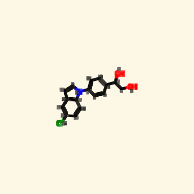 OC[C@H](O)c1ccc(-n2ccc3cc(Cl)ccc32)cc1